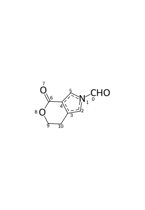 O=Cn1cc2c(c1)C(=O)OCC2